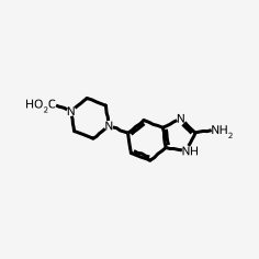 Nc1nc2cc(N3CCN(C(=O)O)CC3)ccc2[nH]1